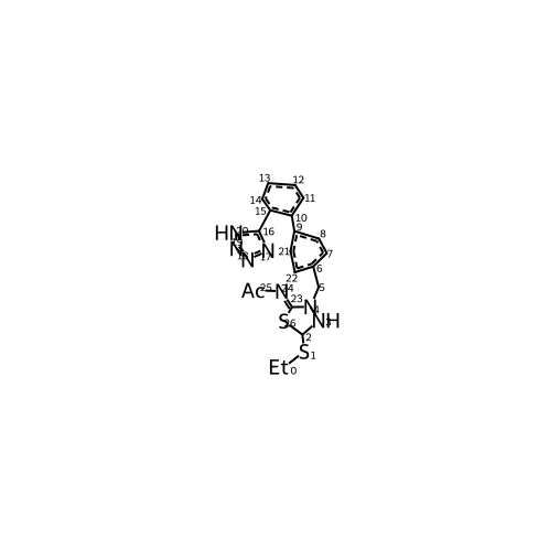 CCSC1NN(Cc2ccc(-c3ccccc3-c3nnn[nH]3)cc2)C(=NC(C)=O)S1